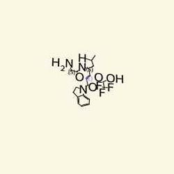 CC(C)C[C@@H](/C=C/C(=O)N1CCc2ccccc21)NC(=O)[C@H](C)N.O=C(O)C(F)(F)F